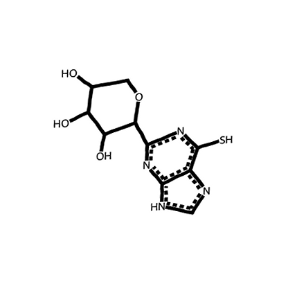 OC1COC(c2nc(S)c3nc[nH]c3n2)C(O)C1O